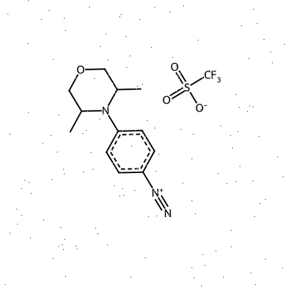 CC1COCC(C)N1c1ccc([N+]#N)cc1.O=S(=O)([O-])C(F)(F)F